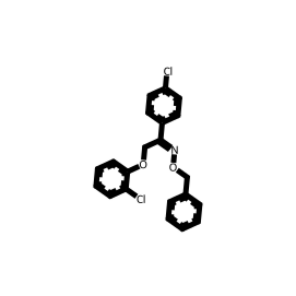 Clc1ccc(C(COc2ccccc2Cl)=NOCc2ccccc2)cc1